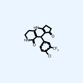 O=C1CCC2=C1C(c1ccc(Cl)c(C(F)(F)F)c1)C1=C(CCNC1=O)N2